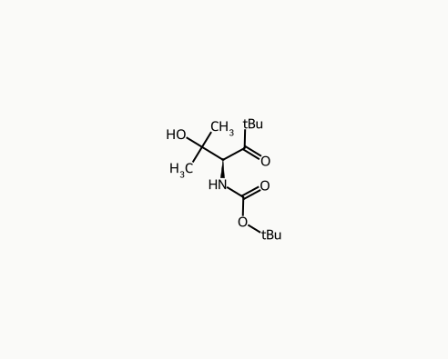 CC(C)(C)OC(=O)N[C@H](C(=O)C(C)(C)C)C(C)(C)O